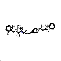 C=N/C(=C\SCC1C2CN(CCc3nc4ccccc4[nH]3)CC12)C(=O)NCc1ncccc1F